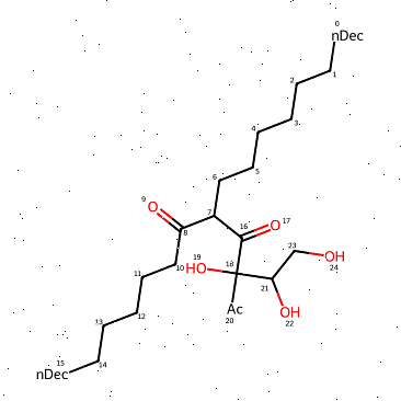 CCCCCCCCCCCCCCCCC(C(=O)CCCCCCCCCCCCCCC)C(=O)C(O)(C(C)=O)C(O)CO